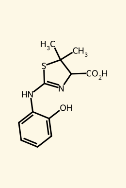 CC1(C)SC(Nc2ccccc2O)=NC1C(=O)O